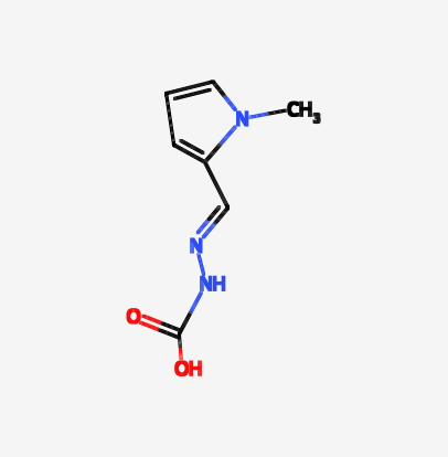 Cn1cccc1/C=N/NC(=O)O